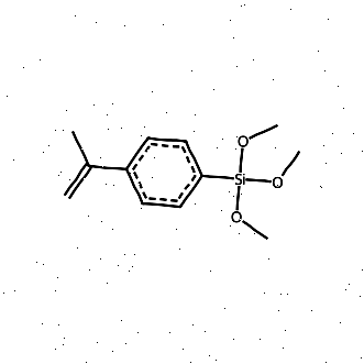 C=C(C)c1ccc([Si](OC)(OC)OC)cc1